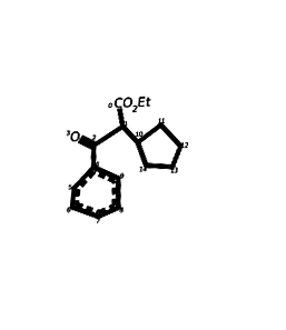 CCOC(=O)C(C(=O)c1ccccc1)C1CCCC1